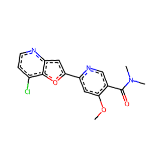 COc1cc(-c2cc3nccc(Cl)c3o2)ncc1C(=O)N(C)C